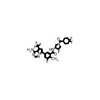 Cc1c(F)cc(-c2cc(C(F)(F)F)c3c(N)ncnn23)cc1C(=O)N[C@@H]1CN(C(=O)C2CCC(F)(F)CC2)C[C@@H]1F